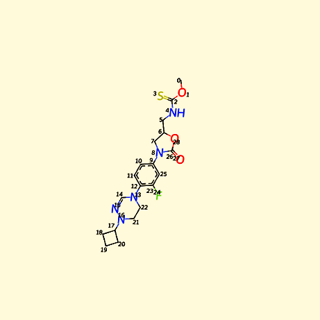 COC(=S)NCC1CN(c2ccc(N3C=NN(C4CCC4)CC3)c(F)c2)C(=O)O1